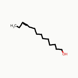 CC/C=C\CCCCCCCCC[CH]O